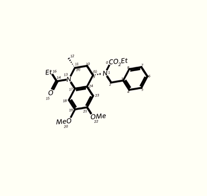 CCOC(=O)N(Cc1ccccc1)[C@H]1C[C@@H](C)N(C(=O)CC)c2cc(OC)c(OC)cc21